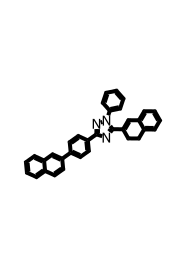 C1=C(c2nc(-c3ccc(-c4ccc5ccccc5c4)cc3)nn2-c2ccccc2)CCc2ccccc21